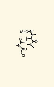 CON=C(C)C(=NOC(=O)N(C)C(=O)CCl)C(=O)N(C)C